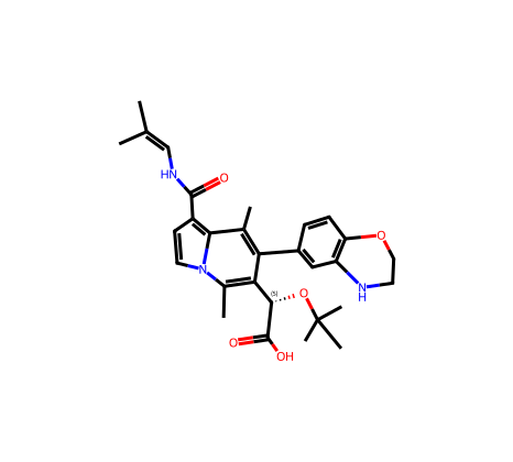 CC(C)=CNC(=O)c1ccn2c(C)c([C@H](OC(C)(C)C)C(=O)O)c(-c3ccc4c(c3)NCCO4)c(C)c12